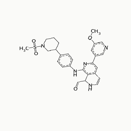 COc1cncc(-c2cc3c(c(Nc4ccc(C5CCCN(S(C)(=O)=O)C5)cc4)n2)C(C=O)NC=C3)c1